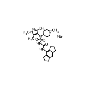 Cc1nn(C)c(C)c1N(C1CCN(C)CC1)S(=O)(=O)NC(=O)Nc1c2c(cc3c1CCC3)CCC2.[Na]